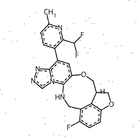 Cc1ccc(-c2cc3c(n4cnnc24)NCc2c(F)ccc4c2[C@H](CO4)CO3)c(C(F)F)n1